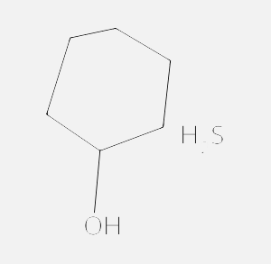 OC1CCCCC1.S